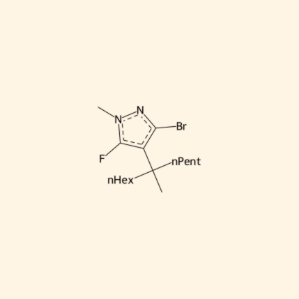 CCCCCCC(C)(CCCCC)c1c(Br)nn(C)c1F